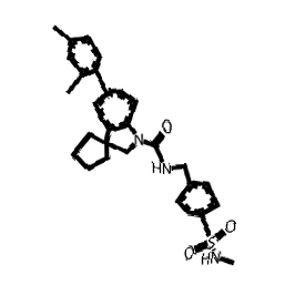 CNS(=O)(=O)c1ccc(CNC(=O)N2CC3(CCCC3)c3cc(-c4ccc(C)cc4C)ccc32)cc1